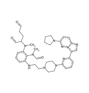 CN(C=O)c1c(NCCN2CCN(c3cccc(-c4cnc5ccc(N6CCCC6)nn45)n3)CC2)cccc1N(C)C(C=O)CCC=O